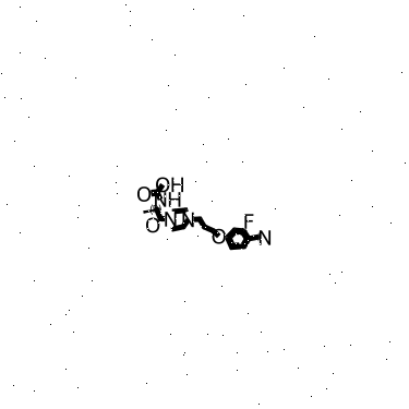 C[C@@H](NC(=O)O)C(=O)N1CCN(CCCOc2ccc(C#N)c(F)c2)CC1